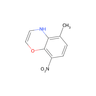 Cc1ccc([N+](=O)[O-])c2c1NC=CO2